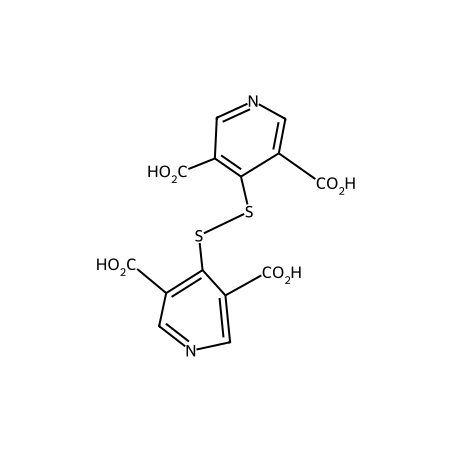 O=C(O)c1cncc(C(=O)O)c1SSc1c(C(=O)O)cncc1C(=O)O